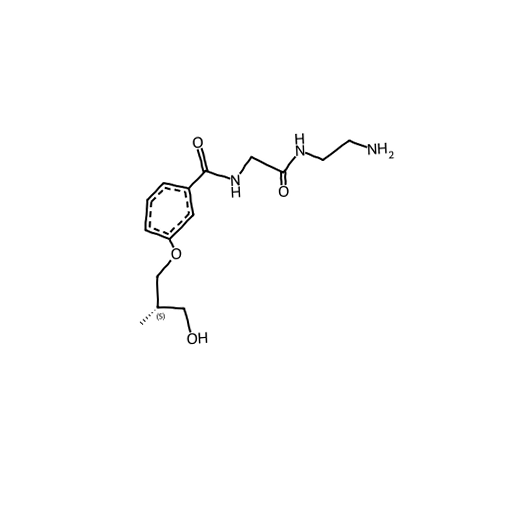 C[C@@H](CO)COc1cccc(C(=O)NCC(=O)NCCN)c1